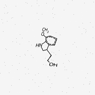 COc1cccc2c1NCC2CCO